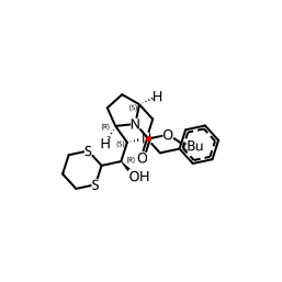 CC(C)(C)OC(=O)N1[C@H]2CC[C@@H]1[C@@H]([C@@H](O)C1SCCCS1)N(Cc1ccccc1)C2